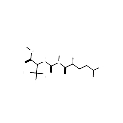 CNC(=O)C(NC(=O)N(O)C(=O)[C@@H](O)CCC(C)C)C(C)(C)F